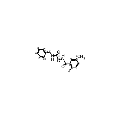 Cc1ccc(I)c(C(=O)NOC(=O)NCc2ccccc2)c1